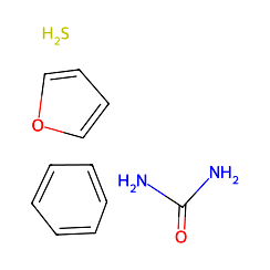 NC(N)=O.S.c1ccccc1.c1ccoc1